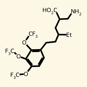 CCC(CCc1ccc(OC(F)(F)F)c(OC(F)(F)F)c1OC(F)(F)F)CC(CN)C(=O)O